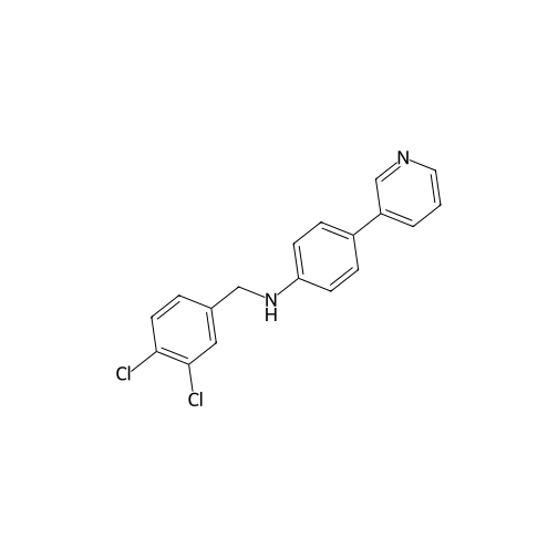 Clc1ccc(CNc2ccc(-c3cccnc3)cc2)cc1Cl